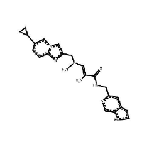 N/C(=C\N(N)Cc1cn2cc(C3CC3)ccc2n1)C(=O)NCc1cc2cc[nH]c2cn1